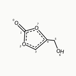 O=c1occ(CO)o1